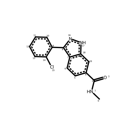 CNC(=O)c1ccc2c(-c3ccccc3Cl)n[nH]c2c1